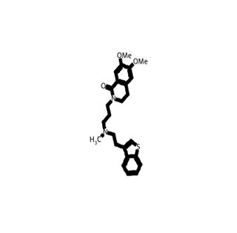 COc1cc2c(cc1OC)C(=O)N(CCCN(C)CCc1csc3ccccc13)CC2